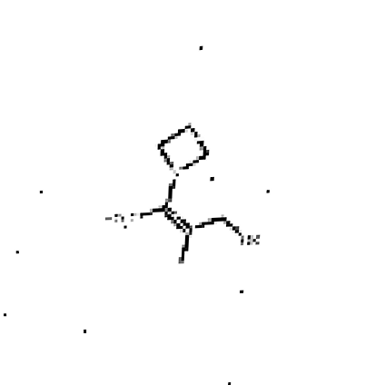 C/C(CO)=C(\C(=O)O)N1CCC1